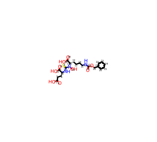 O=C(O)CC[C@H](NC(=S)N(O)[C@@H](CCCCNC(=O)OCc1ccccc1)C(=O)O)C(=O)O